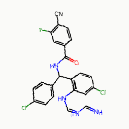 N#Cc1ccc(C(=O)NC(c2ccc(Cl)cc2)c2ccc(Cl)cc2N/C=N\C=N)cc1F